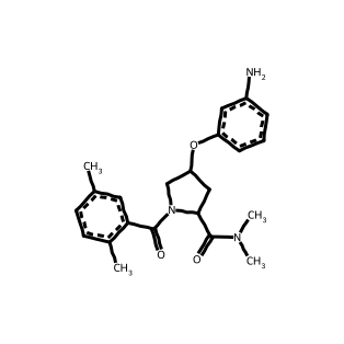 Cc1ccc(C)c(C(=O)N2CC(Oc3cccc(N)c3)CC2C(=O)N(C)C)c1